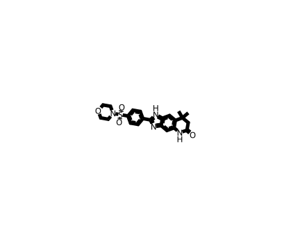 CC1(C)CC(=O)Nc2cc3nc(-c4ccc(S(=O)(=O)N5CCOCC5)cc4)[nH]c3cc21